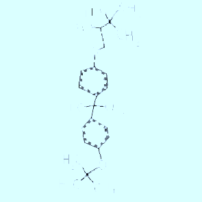 CC(C)(C)Oc1ccc(C(C)(C)c2ccc(OCC(O)C(C)(C)C)cc2)cc1